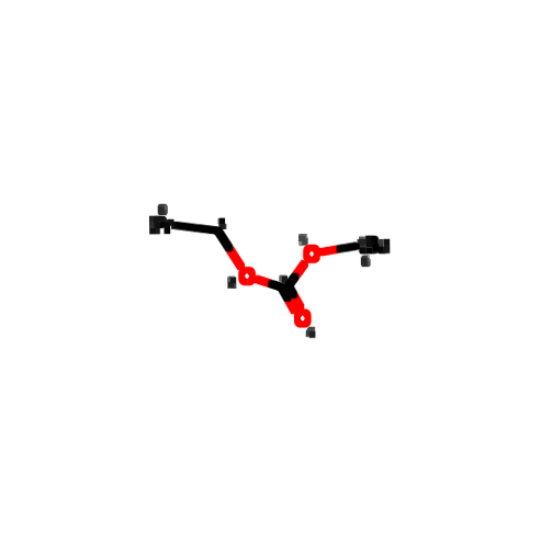 CC(C)COC(=O)OC(C)(C)C